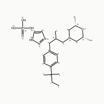 CCC(C)(C)c1ccc(CC(C)CN2C[C@@H](C)O[C@@H](C)C2)cc1.O=P(O)(O)O.c1c[nH]nn1